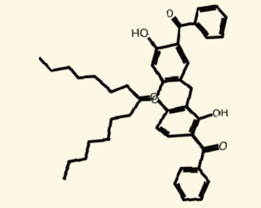 CCCCCCCCOc1cc(O)c(C(=O)c2ccccc2)cc1Cc1c(OCCCCCCCC)ccc(C(=O)c2ccccc2)c1O